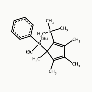 CC1=C(C)C(C)([Si](c2ccccc2)(C(C)(C)C)C(C)(C)C)[C]([Ti]([CH3])([CH3])[CH3])=C1C